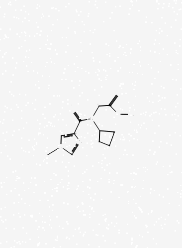 Cn1cnc(C(=O)N(CC(=O)OC(C)(C)C)C2CCC2)c1